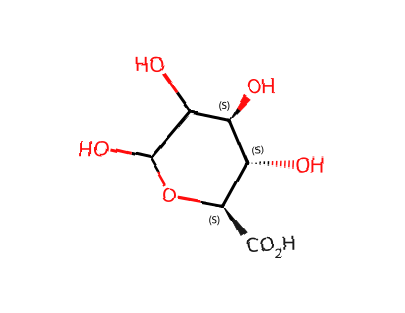 O=C(O)[C@H]1OC(O)C(O)[C@@H](O)[C@@H]1O